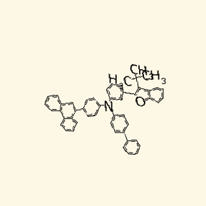 CC(C)(C)c1c(-c2cccc(N(c3ccc(-c4ccccc4)cc3)c3ccc(-c4cc5ccccc5c5ccccc45)cc3)c2)oc2ccccc12